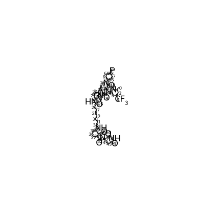 Cc1cc(C(F)(F)F)cc(N2C(=O)NC[C@H]2C(=O)N(CC#Cc2ccc(NC(=O)CCCCCCCNc3cccc4c3C(=O)N(C3CCC(=O)NC3=O)C4=O)nn2)c2ccc(F)cc2)n1